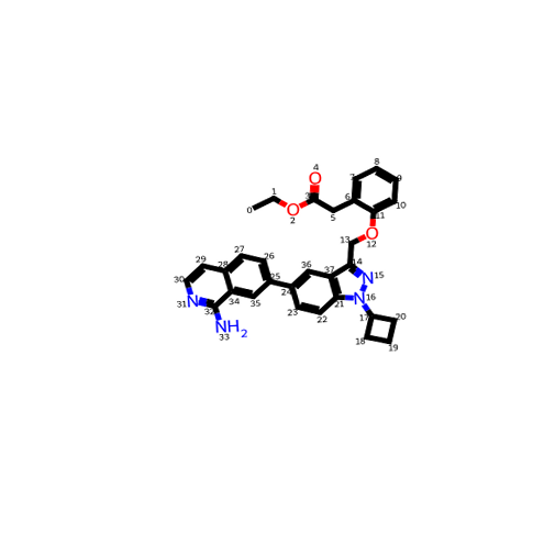 CCOC(=O)Cc1ccccc1OCc1nn(C2CCC2)c2ccc(-c3ccc4ccnc(N)c4c3)cc12